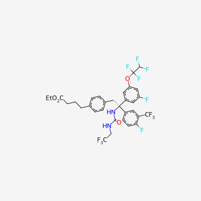 CCOC(=O)CCCc1ccc(C[C@](NC(=O)NCC(F)(F)F)(c2cc(F)cc(OC(F)(F)C(F)F)c2)c2ccc(F)c(C(F)(F)F)c2)cc1